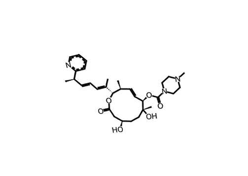 C/C(=C\C=C\[C@@H](C)c1ccccn1)[C@H]1OC(=O)C[C@H](O)CC[C@@](C)(O)[C@H](OC(=O)N2CCN(C)CC2)/C=C/[C@@H]1C